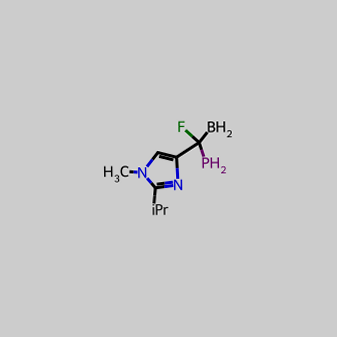 BC(F)(P)c1cn(C)c(C(C)C)n1